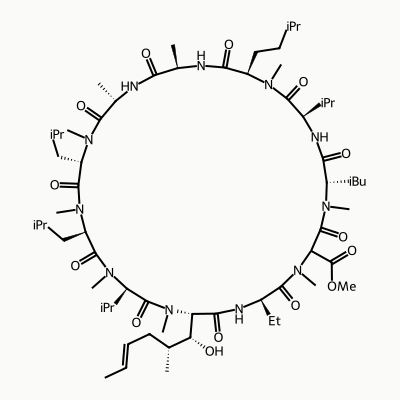 C/C=C/C[C@@H](C)[C@@H](O)[C@H]1C(=O)N[C@H](CC)C(=O)N(C)C(C(=O)OC)C(=O)N(C)[C@@H](C(C)CC)C(=O)N[C@H](C(C)C)C(=O)N(C)[C@H](CCC(C)C)C(=O)N[C@H](C)C(=O)N[C@@H](C)C(=O)N(C)[C@@H](CC(C)C)C(=O)N(C)[C@H](CC(C)C)C(=O)N(C)[C@H](C(C)C)C(=O)N1C